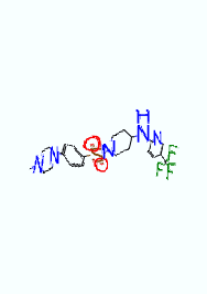 CN1CCN(c2ccc(S(=O)(=O)N3CCC(Nc4ccc(C(F)(F)F)cn4)CC3)cc2)CC1